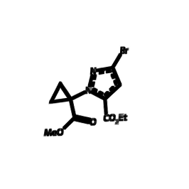 CCOC(=O)c1cc(Br)nn1C1(C(=O)OC)CC1